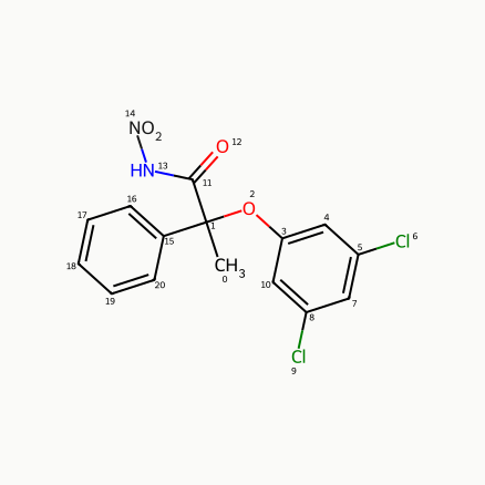 CC(Oc1cc(Cl)cc(Cl)c1)(C(=O)N[N+](=O)[O-])c1ccccc1